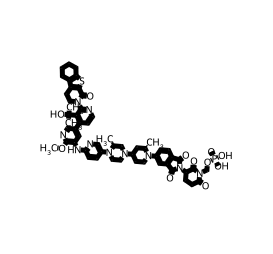 COc1ncc(-c2ccnc(N3CCc4c(sc5c4CCCC5)C3=O)c2C(C)(C)O)cc1Nc1ccc(N2CCN(C3CCN(c4ccc5c(c4)C(=O)N(C4CCC(=O)N(COP(=O)(O)O)C4=O)C5=O)[C@@H](C)C3)C[C@@H]2C)cn1